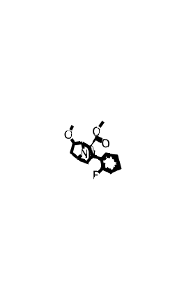 COC(=O)[C@H]1C(c2ccccc2F)CC2CC(OC)C1N2